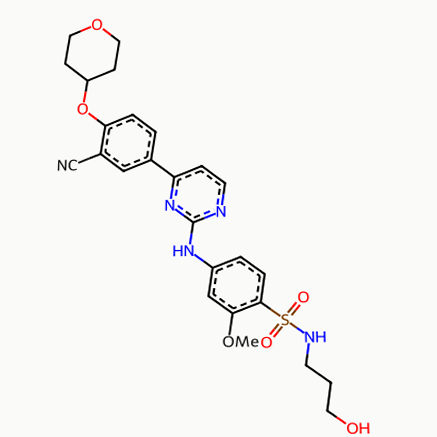 COc1cc(Nc2nccc(-c3ccc(OC4CCOCC4)c(C#N)c3)n2)ccc1S(=O)(=O)NCCCO